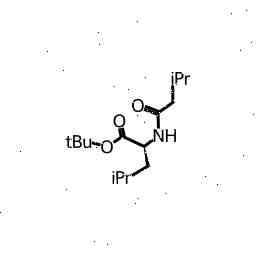 CC(C)CC(=O)N[C@@H](CC(C)C)C(=O)OC(C)(C)C